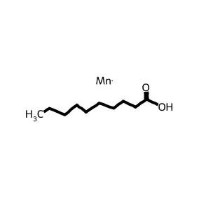 CCCCCCCCCC(=O)O.[Mn]